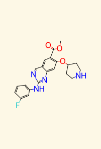 COC(=O)c1cc2cnc(Nc3cccc(F)c3)nc2cc1OC1CCNCC1